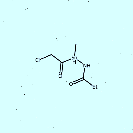 CCC(=O)[NH][SnH]([CH3])[C](=O)CCl